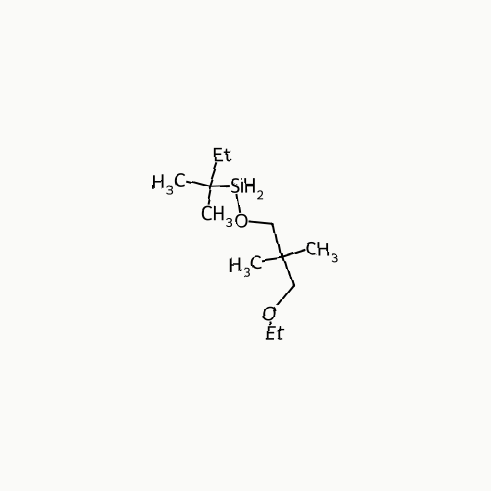 CCOCC(C)(C)CO[SiH2]C(C)(C)CC